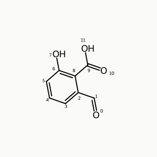 O=Cc1cccc(O)c1C(=O)O